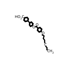 C=CCCCCCCCCOc1ccc(C(=O)Oc2ccc(-c3ccc(C(=O)O)cc3)cc2)cc1